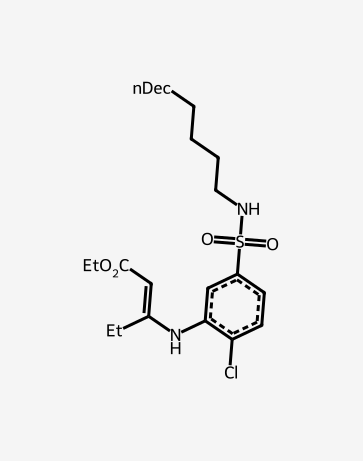 CCCCCCCCCCCCCCNS(=O)(=O)c1ccc(Cl)c(NC(=CC(=O)OCC)CC)c1